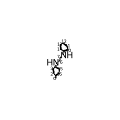 Cc1ccc(NCCNc2ccccc2)cc1